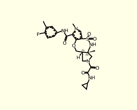 Cc1cc(NC(=O)c2c3c(cn2C)S(=O)(=O)N[C@]2(C)CN(C(=O)C(=O)NC4CC4)C[C@@H]2CO3)ccc1F